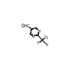 O=Cc1cnc(C(F)(F)Cl)nc1